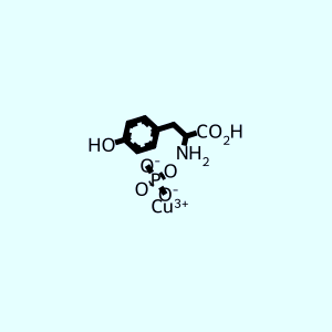 NC(Cc1ccc(O)cc1)C(=O)O.O=P([O-])([O-])[O-].[Cu+3]